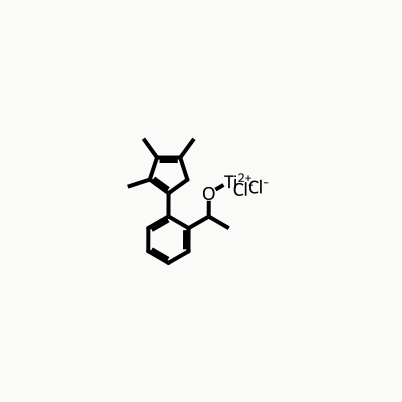 CC1=C(C)C(C)=C(c2ccccc2C(C)[O][Ti+2])C1.[Cl-].[Cl-]